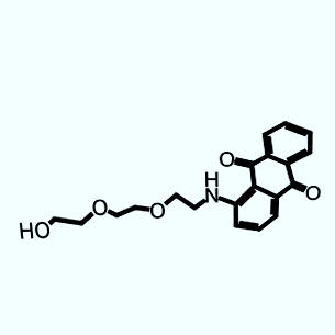 O=C1c2ccccc2C(=O)c2c(NCCOCCOCCO)cccc21